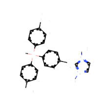 CCCC[B-](c1ccc(C(C)(C)C)cc1)(c1ccc(C(C)(C)C)cc1)c1ccc(C(C)(C)C)cc1.CCCC[n+]1ccn(C)c1